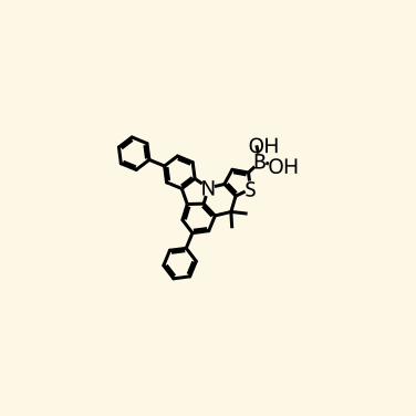 CC1(C)c2sc(B(O)O)cc2-n2c3ccc(-c4ccccc4)cc3c3cc(-c4ccccc4)cc1c32